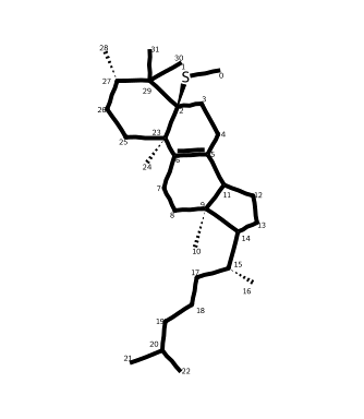 CS[C@@]12CCC3=C(CC[C@@]4(C)C3CCC4[C@H](C)CCCC(C)C)[C@@]1(C)CC[C@H](C)C2(C)C